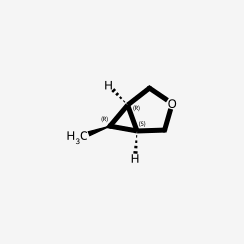 C[C@H]1[C@H]2COC[C@@H]12